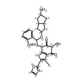 COc1ccccc1C(Cn1c(=O)n(C(C)(C)C)c(=O)c2c(C)c(-c3ncco3)sc21)OC1CC2CC(N)CC2C1